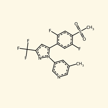 Cc1cncc(-n2nc(C(F)(F)F)cc2-c2cc(F)c(S(C)(=O)=O)cc2F)c1